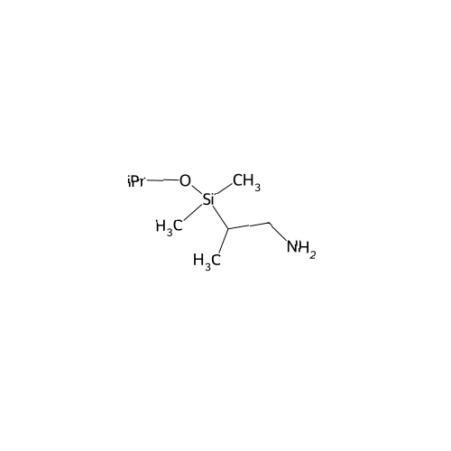 CC(C)O[Si](C)(C)C(C)CN